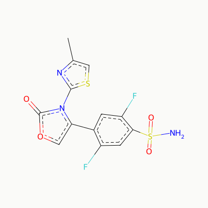 Cc1csc(-n2c(-c3cc(F)c(S(N)(=O)=O)cc3F)coc2=O)n1